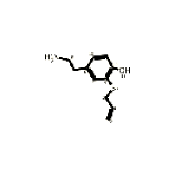 C=CCSc1cc(CCN)ccc1O